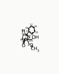 COCC1(CO)C(=O)C2CCN1[C@@H](c1ccccc1)C2